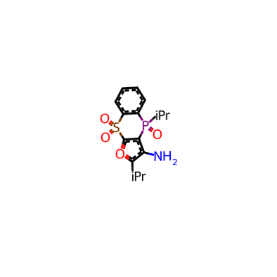 CC(C)c1oc2c(c1N)P(=O)(C(C)C)c1ccccc1S2(=O)=O